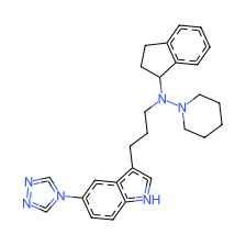 c1ccc2c(c1)CCC2N(CCCc1c[nH]c2ccc(-n3cnnc3)cc12)N1CCCCC1